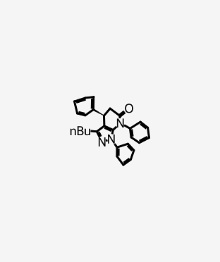 CCCCc1nn(-c2ccccc2)c2c1[C@@H](c1ccccc1)CC(=O)N2c1ccccc1